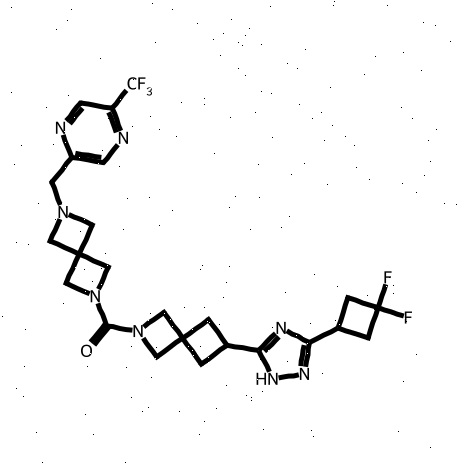 O=C(N1CC2(CC(c3nc(C4CC(F)(F)C4)n[nH]3)C2)C1)N1CC2(CN(Cc3cnc(C(F)(F)F)cn3)C2)C1